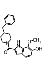 COc1c(O)ccc2cc(C(=O)N3CCC(Cc4ccccc4)CC3)[nH]c12